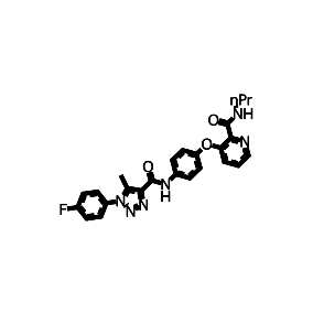 CCCNC(=O)c1ncccc1Oc1ccc(NC(=O)c2nnn(-c3ccc(F)cc3)c2C)cc1